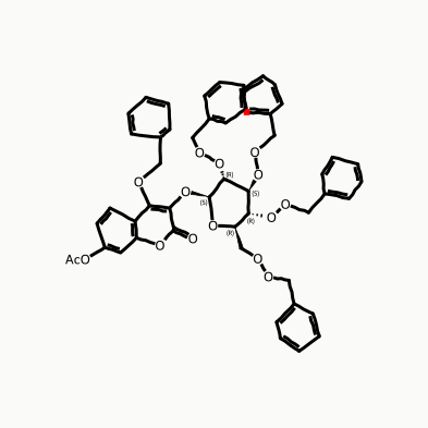 CC(=O)Oc1ccc2c(OCc3ccccc3)c(O[C@@H]3O[C@H](COOCc4ccccc4)[C@@H](OOCc4ccccc4)[C@H](OOCc4ccccc4)[C@H]3OOCc3ccccc3)c(=O)oc2c1